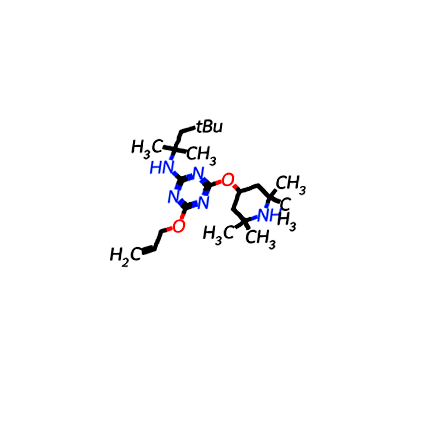 C=CCOc1nc(NC(C)(C)CC(C)(C)C)nc(OC2CC(C)(C)NC(C)(C)C2)n1